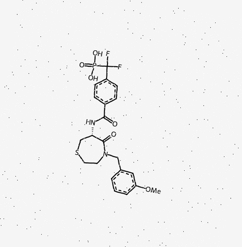 COc1cccc(CN2CCSC[C@H](NC(=O)c3ccc(C(F)(F)P(=O)(O)O)cc3)C2=O)c1